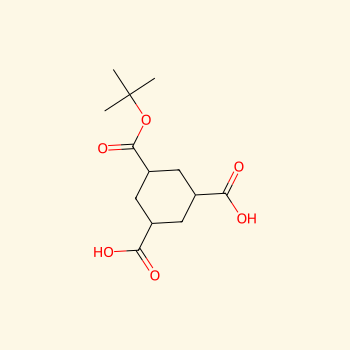 CC(C)(C)OC(=O)C1CC(C(=O)O)CC(C(=O)O)C1